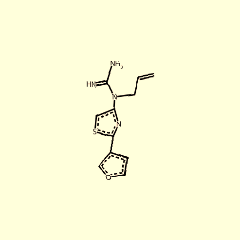 C=CCN(C(=N)N)c1csc(-c2ccoc2)n1